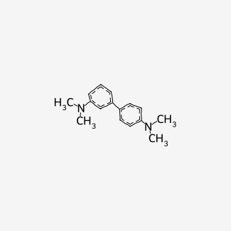 CN(C)c1ccc(-c2cccc(N(C)C)c2)cc1